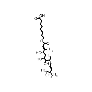 C/C(=C\C(=O)OCCCCCCCC(=O)O)[C@@H](O)[C@@H]1OC[C@H](C/C=C/[C@@H](C)[C@@H](C)O)[C@@H](O)[C@H]1O